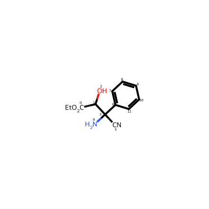 CCOC(=O)C(O)C(N)(C#N)c1ccccc1